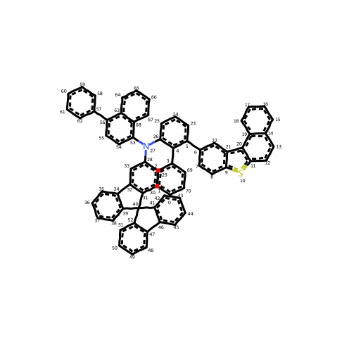 c1ccc(-c2c(-c3ccc4sc5ccc6ccccc6c5c4c3)cccc2N(c2ccc3c(c2)-c2ccccc2C32c3ccccc3-c3ccccc32)c2ccc(-c3ccccc3)c3ccccc23)cc1